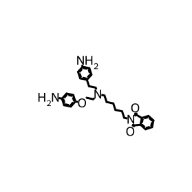 Nc1ccc(CCN(CCCCCCN2C(=O)c3ccccc3C2=O)CCOc2ccc(N)cc2)cc1